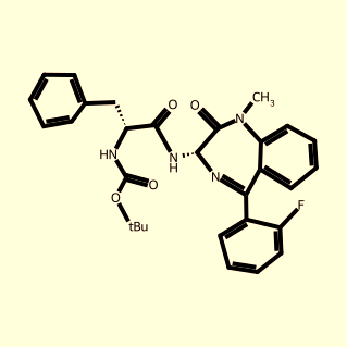 CN1C(=O)[C@@H](NC(=O)[C@@H](Cc2ccccc2)NC(=O)OC(C)(C)C)N=C(c2ccccc2F)c2ccccc21